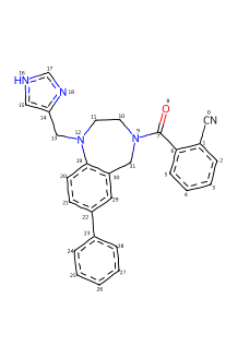 N#Cc1ccccc1C(=O)N1CCN(Cc2c[nH]cn2)c2ccc(-c3ccccc3)cc2C1